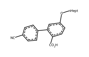 CCCCCCCOc1ccc(C(=O)O)c(-c2ccc(C#N)cc2)c1